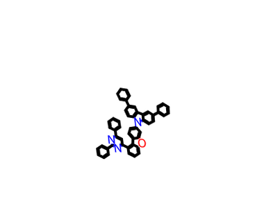 C1=CC(c2ccc3c(c2)c2cc(-c4ccccc4)ccc2n3-c2ccc3c(c2)oc2cccc(-c4cc(-c5ccccc5)nc(-c5ccccc5)n4)c23)=CCC1